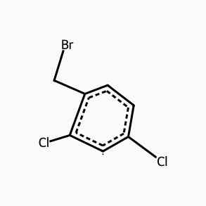 Clc1[c]c(Cl)c(CBr)cc1